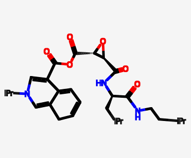 CC(C)CCNC(=O)[C@@H](CC(C)C)NC(=O)[C@@H]1O[C@H]1C(=O)OC(=O)C1=CN(C(C)C)C=C2CC=CC=C21